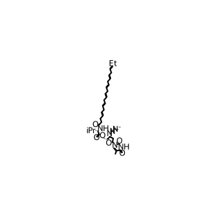 CCC=CCC=CCC=CCC=CCC=CCC=CCCC(=O)N[C@H](C(=O)OC[C@H]1O[C@H](n2cc(C)c(=O)[nH]c2=O)C[C@@H]1N=[N+]=[N-])C(C)C